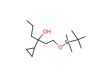 CCCC(O)(CCO[Si](C)(C)C(C)(C)C)C1CC1